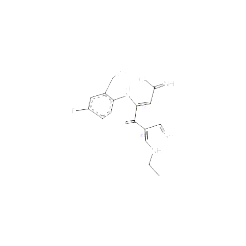 CCN/C=C(\C=N)C(=O)/C(=C/C(=N)Cl)Nc1ccc(F)cc1CO